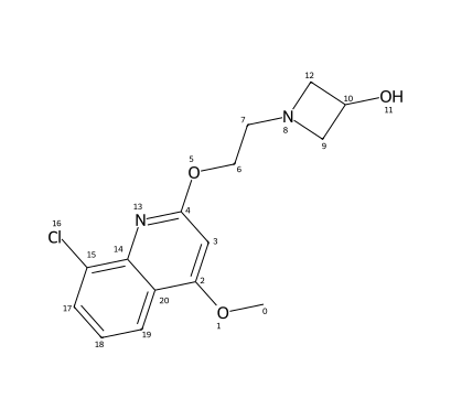 COc1cc(OCCN2CC(O)C2)nc2c(Cl)cccc12